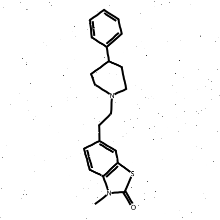 Cn1c(=O)sc2cc(CCN3CCC(c4ccccc4)CC3)ccc21